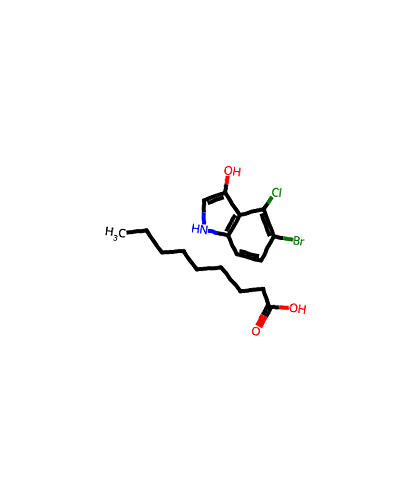 CCCCCCCCC(=O)O.Oc1c[nH]c2ccc(Br)c(Cl)c12